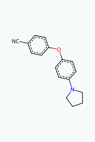 N#Cc1ccc(Oc2ccc(N3CCCC3)cc2)cc1